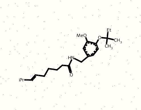 CCC(C)(C)Oc1ccc(CNC(=O)CCCC/C=C/C(C)C)cc1OC